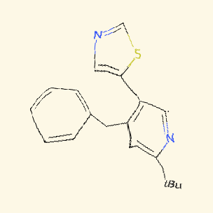 CC(C)(C)c1cc(-c2ccccc2)c(-c2cncs2)[c]n1